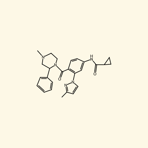 Cc1ccn(-c2cc(NC(=O)C3CC3)ccc2C(=O)N2CCN(C)CC2c2ccccc2)n1